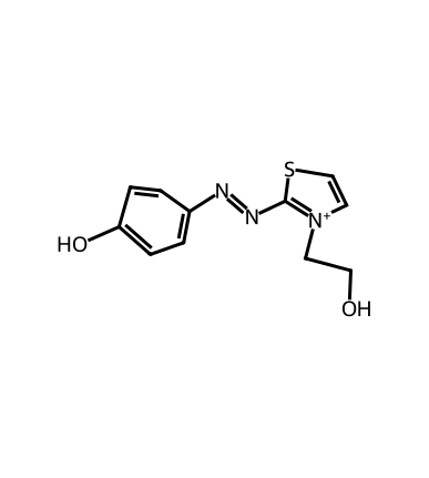 OCC[n+]1ccsc1N=Nc1ccc(O)cc1